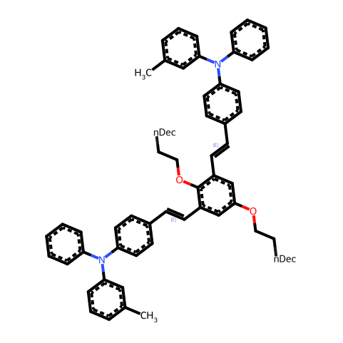 CCCCCCCCCCCCOc1cc(/C=C/c2ccc(N(c3ccccc3)c3cccc(C)c3)cc2)c(OCCCCCCCCCCCC)c(/C=C/c2ccc(N(c3ccccc3)c3cccc(C)c3)cc2)c1